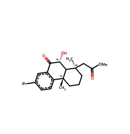 COC(=O)C[C@@]1(C)CCC[C@]2(C)c3ccc(C(C)C)cc3C(=O)[C@H](O)C12